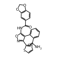 NC(=O)c1ccccc1-c1c(-c2nccs2)noc1NC(=O)c1ccc2c(c1)OCO2